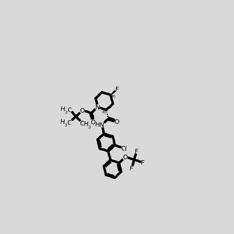 CC(C)(C)OC(=O)N1CC[C@@H](F)C[C@@H]1C(=O)Nc1ccc(-c2ccccc2OC(F)(F)F)c(Cl)c1